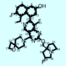 CCc1c(F)ccc2cc(O)cc(-c3ncc4c(N5CCC6(CCO6)CC5)nc(OC[C@@]56CCCN5C[C@H](F)C6)nc4c3F)c12